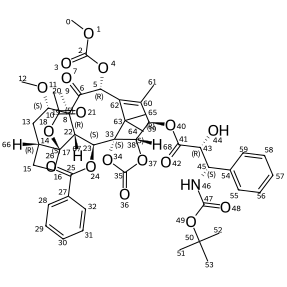 COC(=O)O[C@H]1C(=O)[C@]2(C)[C@@H](OC)C[C@H]3CC[C@@]3(OC(C)=O)[C@H]2[C@H](OC(=O)c2ccccc2)[C@]23OC(=O)O[C@H]2[C@H](OC(=O)[C@H](O)[C@@H](NC(=O)OC(C)(C)C)c2ccccc2)C(C)=C1C3(C)C